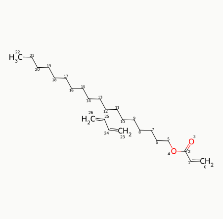 C=CC(=O)OCCCCCCCCCCCCCCCCCC.C=CC=C